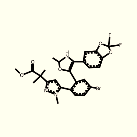 COC(=O)C(C)(C)c1cc(-c2ccc(Br)cc2C2=C(c3ccc4c(c3)OC(F)(F)O4)NC(C)O2)n(C)n1